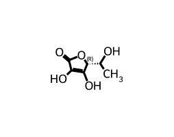 CC(O)[C@H]1OC(=O)C(O)=C1O